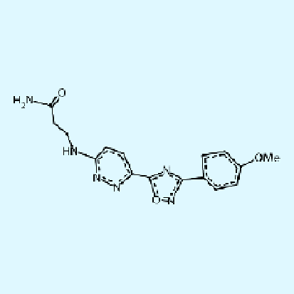 COc1ccc(-c2noc(-c3ccc(NCCC(N)=O)nn3)n2)cc1